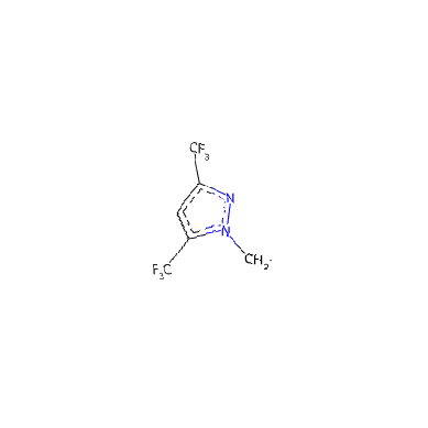 [CH2]n1nc(C(F)(F)F)cc1C(F)(F)F